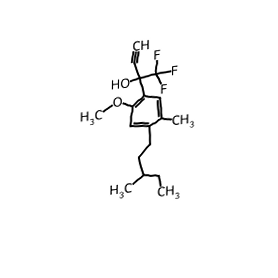 C#CC(O)(c1cc(C)c(CCC(C)CC)cc1OC)C(F)(F)F